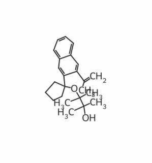 C=C(C)c1cc2ccccc2cc1C1(OC(C)(C)C(C)(C)O)CCCC1